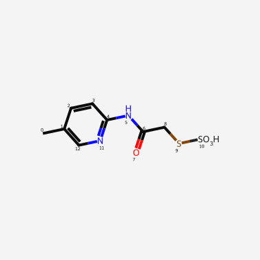 Cc1ccc(NC(=O)CSS(=O)(=O)O)nc1